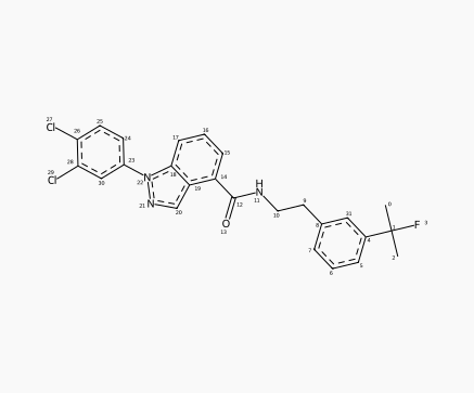 CC(C)(F)c1cccc(CCNC(=O)c2cccc3c2cnn3-c2ccc(Cl)c(Cl)c2)c1